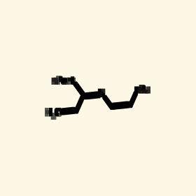 C=C/C(CCCCC)=N\C=C/CCCC